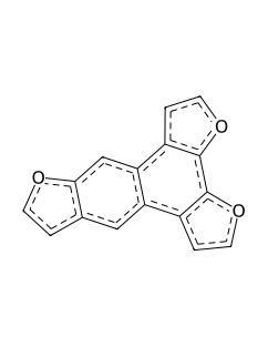 c1cc2cc3c(cc2o1)c1ccoc1c1occc31